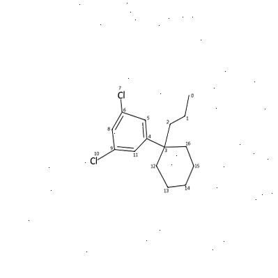 CCCC1(c2cc(Cl)cc(Cl)c2)CCCCC1